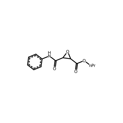 CCCOC(=O)C1OC1C(=O)Nc1ccccc1